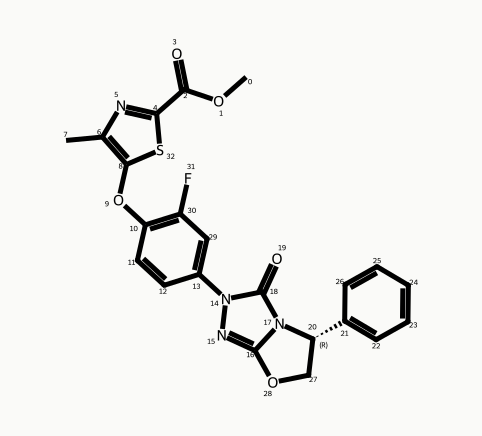 COC(=O)c1nc(C)c(Oc2ccc(-n3nc4n(c3=O)[C@H](c3ccccc3)CO4)cc2F)s1